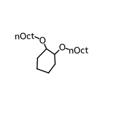 CCCCCCCCOC1CCCCC1OCCCCCCCC